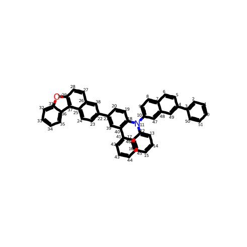 c1ccc(-c2ccc3ccc(N(c4ccccc4)c4ccc(-c5ccc6c(ccc7oc8ccccc8c76)c5)cc4-c4ccccc4)cc3c2)cc1